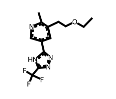 CCOCCc1cc(-c2nnc(C(F)(F)F)[nH]2)cnc1C